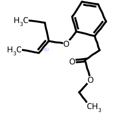 C/C=C(\CC)Oc1ccccc1CC(=O)OCC